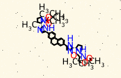 COC(=O)N[C@H](C(=O)N1CCC[C@H]1c1ncc(-c2ccc3c(c2)CCc2cc(-c4cnc([C@@H]5[C@@H](C)C[C@@H](C)N5C(=O)OC(C)(C)C)[nH]4)ccc2-3)[nH]1)C(C)C